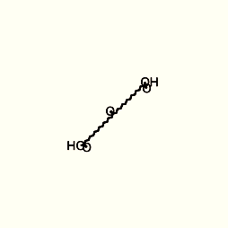 O=C(O)CCCCCCCCCCCCC(=O)CCCCCCCCCCCCC(=O)O